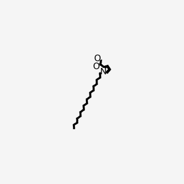 CCCCCCCCCCCCCCCCCCn1cccc1C(=O)C=O